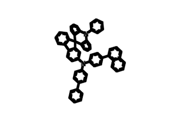 c1ccc(-c2ccc(N(c3ccc(-c4cccc5ccccc45)cc3)c3ccc4c(c3)C3(c5ccccc5-4)c4ccccc4N(c4ccccc4)c4ccccc43)cc2)cc1